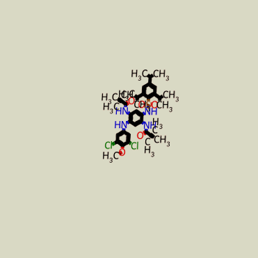 COc1c(Cl)cc(Nc2cc(NC(=O)C(C)(C)C)c(NS(=O)(=O)c3c(C(C)C)cc(C(C)C)cc3C(C)C)cc2NC(=O)C(C)(C)C)cc1Cl